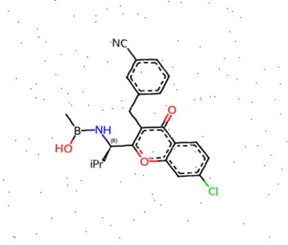 CB(O)N[C@@H](c1oc2cc(Cl)ccc2c(=O)c1Cc1cccc(C#N)c1)C(C)C